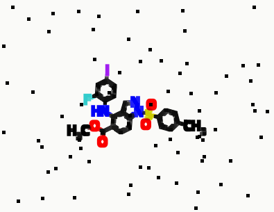 COC(=O)c1ccc2c(cnn2S(=O)(=O)c2ccc(C)cc2)c1Nc1ccc(I)cc1F